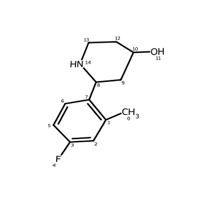 Cc1cc(F)ccc1C1CC(O)CCN1